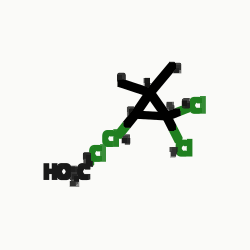 CC1(C)C(Cl)C1(Cl)Cl.O=C(O)Cl